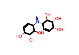 CN([C@H]1C=C[C@@H](O)[C@@H](O)[C@@H]1O)[C@H]1C=C[C@@H](O)[C@@H](O)[C@@H]1O